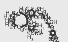 CC[C@H]1OC(=O)[C@H](C)[C@@H](C2C[C@@](C)(OC)[C@@H](O)[C@H](C)O2)[C@H](C)[C@@H](O[C@@H]2O[C@H](C)C[C@H](N(C)CCc3cn(C[C@@H](O)COc4ccc(S(C)(=O)=O)cc4)nn3)[C@H]2O)[C@](C)(O)C[C@@H](C)CN(C)[C@H](C)[C@@H](O)[C@]1(C)O